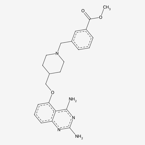 COC(=O)c1cccc(CN2CCC(COc3cccc4nc(N)nc(N)c34)CC2)c1